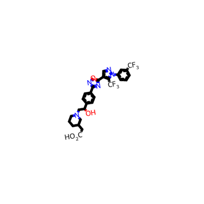 O=C(O)CC1CCCN(CC(O)c2ccc(-c3noc(-c4cnn(-c5cccc(C(F)(F)F)c5)c4C(F)(F)F)n3)cc2)C1